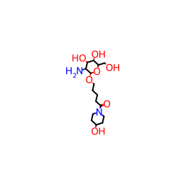 NC1C(O)[C@@H](O)C(CO)O[C@H]1OCCCCC(=O)N1CCC(O)CC1